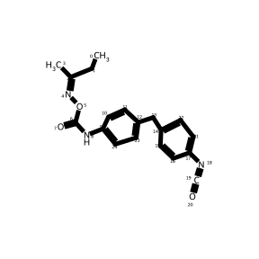 CC/C(C)=N\OC(=O)Nc1ccc(Cc2ccc(N=C=O)cc2)cc1